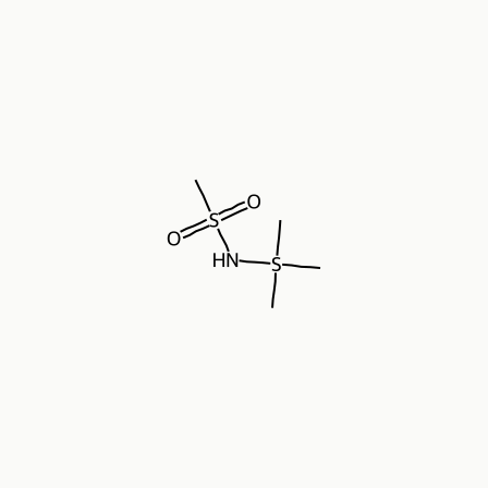 CS(C)(C)NS(C)(=O)=O